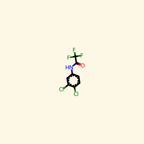 O=C(Nc1ccc(Cl)c(Cl)c1)C(F)(F)F